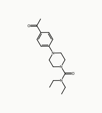 CCN(CC)C(=O)N1CCN(c2ccc(C(C)=O)cc2)CC1